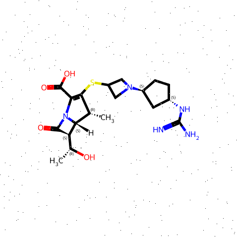 C[C@@H](O)[C@H]1C(=O)N2C(C(=O)O)=C(SC3CN([C@H]4CC[C@H](NC(=N)N)C4)C3)[C@H](C)[C@H]12